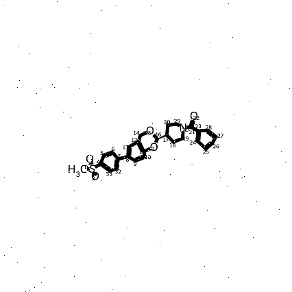 CS(=O)(=O)c1ccc(-c2ccc3c(c2)CO[C@@H](C2CCN(C(=O)c4ccccc4)CC2)O3)cc1